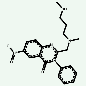 CNCCCN(C)Cc1nc2ccc([N+](=O)[O-])cc2c(=O)n1-c1ccccc1